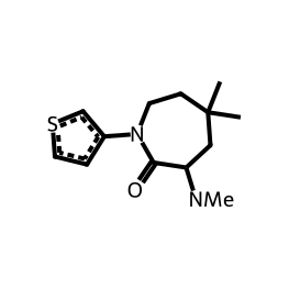 CNC1CC(C)(C)CCN(c2ccsc2)C1=O